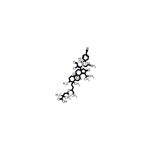 CCC(CCC1(C)C(C)CCC2(C)C1CCC1C3=C(C(C)C)C(=O)CC3(/C(=C(\Cl)C=O)N(CCN)N(C)C3(C)C=CC(C#N)=CC3)CC[C@]12C)OC(=O)CC(C)(C)C(=O)O